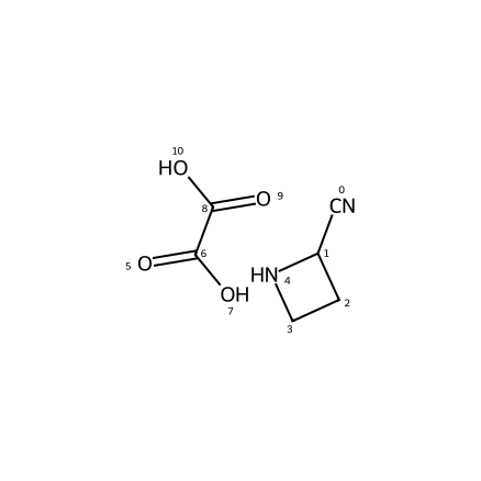 N#CC1CCN1.O=C(O)C(=O)O